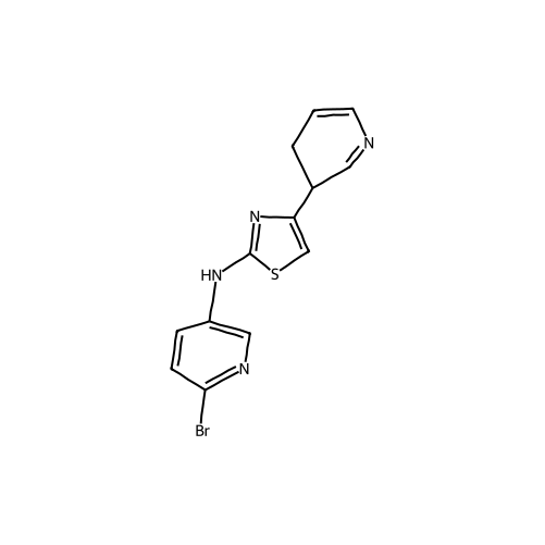 Brc1ccc(Nc2nc(C3C=NC=CC3)cs2)cn1